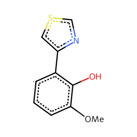 COc1cc[c]c(-c2cscn2)c1O